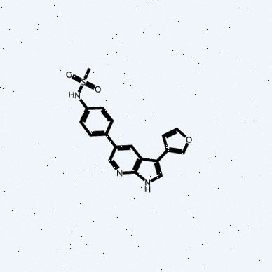 CS(=O)(=O)Nc1ccc(-c2cnc3[nH]cc(-c4ccoc4)c3c2)cc1